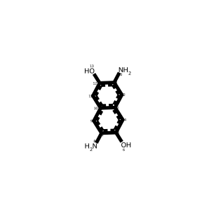 Nc1cc2cc(O)c(N)cc2cc1O